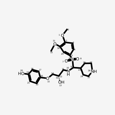 COc1ccc(S(=O)(=O)C(NC[C@H](O)COc2ccc(O)cc2)C2CCNCC2)cc1OC